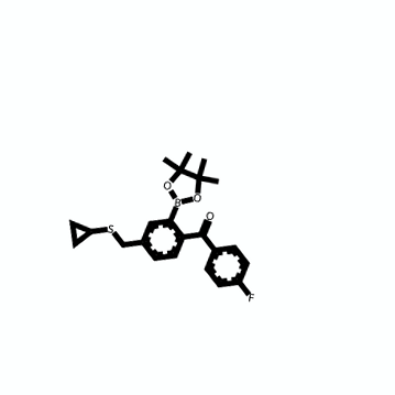 CC1(C)OB(c2cc(CSC3CC3)ccc2C(=O)c2ccc(F)cc2)OC1(C)C